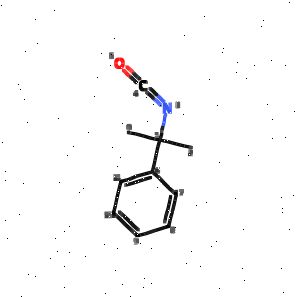 CC(C)(N=C=O)c1[c]cc[c]c1